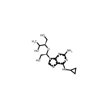 CC(O)[C@@H](CO)O[C@H](CO)n1cnc2c(NC3CC3)nc(N)nc21